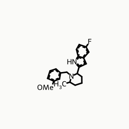 COc1cccc(CN2C(C)CCCC2c2cc3cc(F)ccc3[nH]2)c1